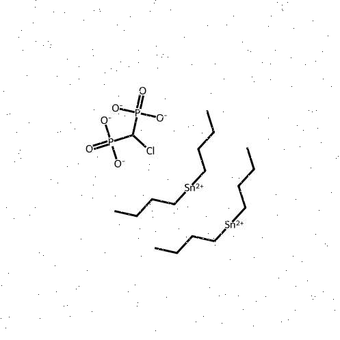 CCC[CH2][Sn+2][CH2]CCC.CCC[CH2][Sn+2][CH2]CCC.O=P([O-])([O-])C(Cl)P(=O)([O-])[O-]